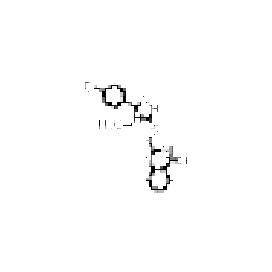 CCn1c(SCc2nc3ccccc3c(=O)[nH]2)nnc1-c1ccc(Cl)cc1